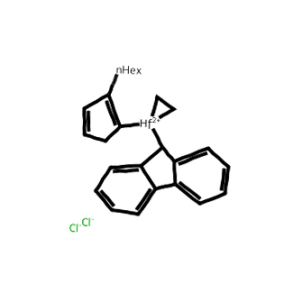 CCCCCCC1=[C]([Hf+2]2([CH]3c4ccccc4-c4ccccc43)[CH2][CH2]2)CC=C1.[Cl-].[Cl-]